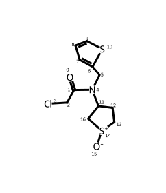 O=C(CCl)N(Cc1cccs1)C1CC[S+]([O-])C1